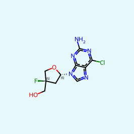 Nc1nc(Cl)c2ncn([C@@H]3C[C@](F)(CO)CO3)c2n1